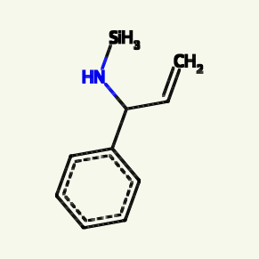 C=CC(N[SiH3])c1ccccc1